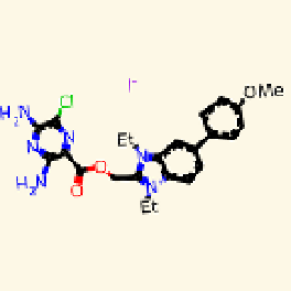 CCn1c(COC(=O)c2nc(Cl)c(N)nc2N)[n+](CC)c2ccc(-c3ccc(OC)cc3)cc21.[I-]